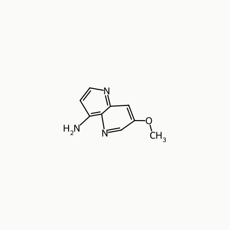 COc1cnc2c(N)ccnc2c1